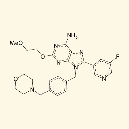 COCCOc1nc(N)c2nc(-c3cncc(F)c3)n(Cc3ccc(CN4CCOCC4)cc3)c2n1